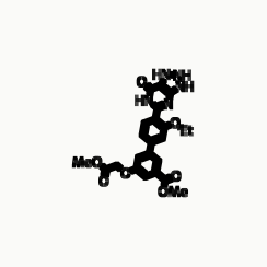 CCOc1cc(-c2cc(OCC(=O)OC)cc(C(=O)OC)c2)ccc1-c1nc2c(c(=O)[nH]1)NNN2